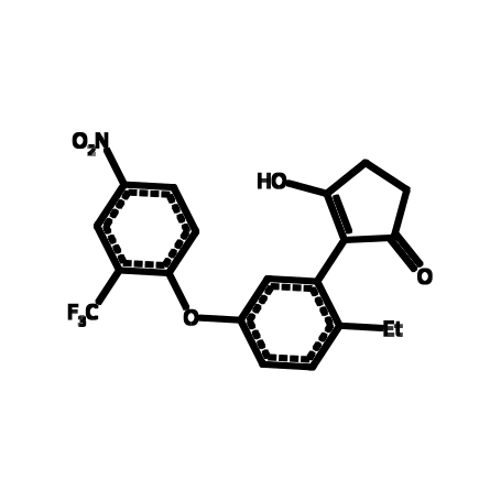 CCc1ccc(Oc2ccc([N+](=O)[O-])cc2C(F)(F)F)cc1C1=C(O)CCC1=O